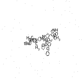 C[C@@H]1CN(C2CCN(c3nc([C@](COC4CCCCO4)(OC4CC4)c4cccc(OCc5ccccc5)c4)c4cc(-c5cn(C)c(=O)c6[nH]ccc56)ccc4n3)CC2)[C@@H](C)CN1C(=O)OC(C)(C)C